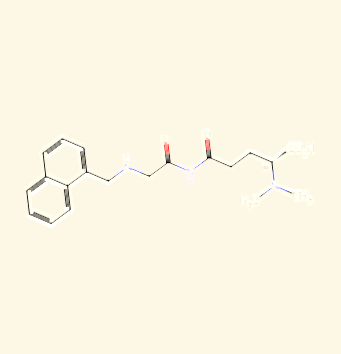 CN(C)[C@@H](CCC(=O)NC(=O)CNCc1cccc2ccccc12)C(=O)O